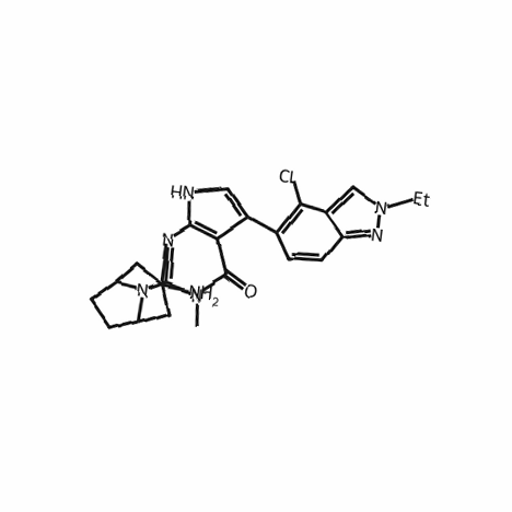 CCn1cc2c(Cl)c(-c3c[nH]c4nc(N5C6CCC5CC(C)(N)C6)n(C)c(=O)c34)ccc2n1